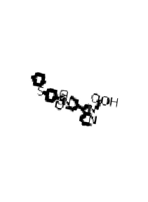 O=C(O)Cn1cc(C2CCN(S(=O)(=O)c3ccc(Sc4ccccc4)cc3)CC2)c2cccnc21